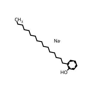 CCCCCCCCCCCCCCCCc1ccccc1O.[Na]